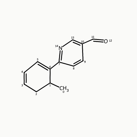 CC1CC=CC=C1c1ccc(C=O)cn1